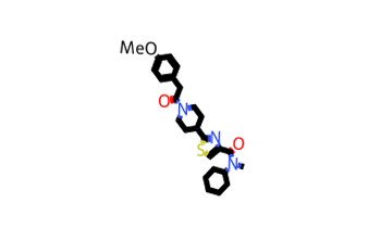 COc1ccc(CC(=O)N2CCC(c3nc(C(=O)N(C)C4CCCCC4)cs3)CC2)cc1